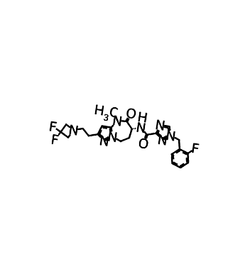 CN1C(=O)[C@H](NC(=O)c2ncn(Cc3ccccc3F)n2)CCn2nc(CCN3CC(F)(F)C3)cc21